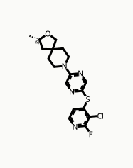 C[C@H]1CC2(CCN(c3cnc(Sc4ccnc(F)c4Cl)cn3)CC2)CO1